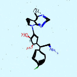 Cc1ncnc2c1ccn2C1CC(C(CN)c2ccc(F)cc2)[C@@H](O)[C@H]1O